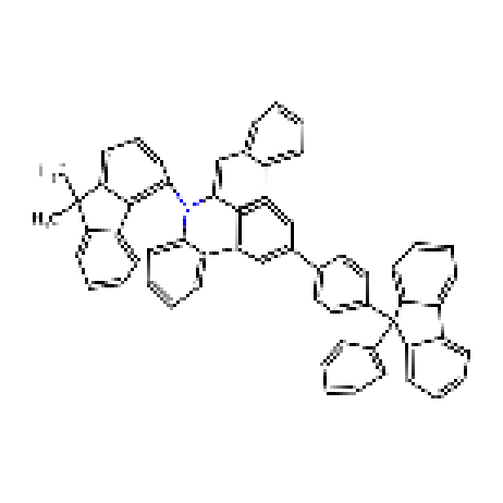 CC1(C)c2ccccc2-c2c(N(c3ccc4ccccc4c3)c3ccccc3-c3cccc(-c4ccc(C5(c6ccccc6)c6ccccc6-c6ccccc65)cc4)c3)cccc21